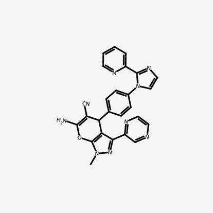 Cn1nc(-c2cnccn2)c2c1OC(N)=C(C#N)C2c1ccc(-n2ccnc2-c2ccccn2)cc1